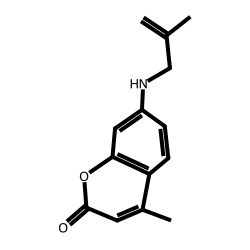 C=C(C)CNc1ccc2c(C)cc(=O)oc2c1